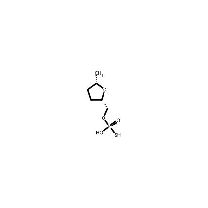 C[C@H]1CC[C@@H](COP(=O)(O)S)O1